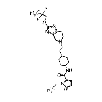 CCn1nccc1C(=O)N[C@H]1CC[C@H](CCN2CCc3sc(OCC(C)(F)F)nc3C2)CC1